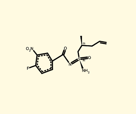 C=CC[C@H](C)C[S@](N)(=O)=NC(=O)c1ccc(F)c([N+](=O)[O-])c1